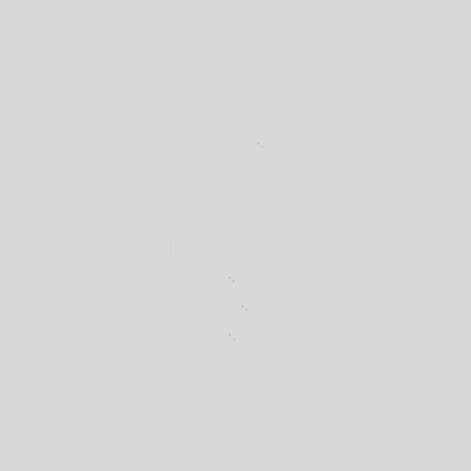 Cc1cc(F)c([N+](=O)[O-])cc1-c1ccc2ccnn2n1